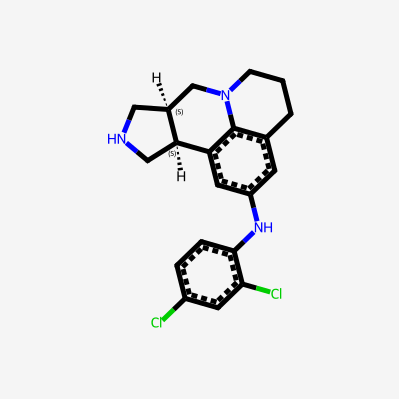 Clc1ccc(Nc2cc3c4c(c2)[C@H]2CNC[C@H]2CN4CCC3)c(Cl)c1